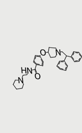 O=C(NCCN1CCCCC1)c1ccc(OC2CCN(CC(c3ccccc3)c3ccccc3)CC2)cc1